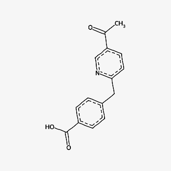 CC(=O)c1ccc(Cc2ccc(C(=O)O)cc2)nc1